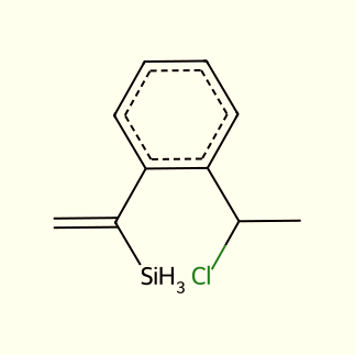 C=C([SiH3])c1ccccc1C(C)Cl